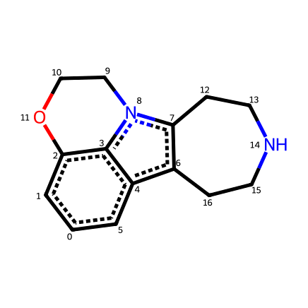 c1cc2c3c(c1)c1c(n3CCO2)CCNCC1